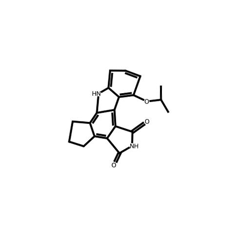 CC(C)Oc1cccc2[nH]c3c4c(c5c(c3c12)C(=O)NC5=O)CCC4